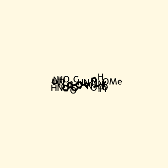 COC(=O)N[C@H](C(=O)N1CCC[C@@H]1c1ncc(-c2cc3c(c(C(=O)O)c2)-c2ccc4c(ccc5[nH]c([C@@H]6CCCN6)nc54)c2OC3)[nH]1)C(C)C